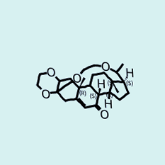 CC1OCCOC23CC4=CC(=O)[C@@H]5C(CC[C@]6(C)[C@@H]1CC[C@H]56)[C@@]4(C)CC2OCCO3